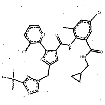 Cc1cc(Cl)cc(C(=O)NCC2CC2)c1NC(=O)c1cc(Cn2nnc(C(F)(F)F)n2)nn1-c1ncccc1Cl